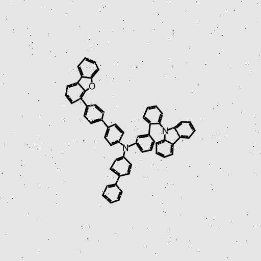 c1ccc(-c2ccc(N(c3ccc(-c4ccc(-c5cccc6c5oc5ccccc56)cc4)cc3)c3cccc(-c4ccccc4-n4c5ccccc5c5ccccc54)c3)cc2)cc1